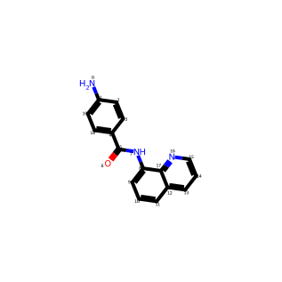 Nc1ccc(C(=O)Nc2cccc3cccnc23)cc1